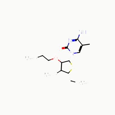 COCCOC1C(OC)[C@@H](COC)S[C@H]1n1cc(C)c(N)nc1=O